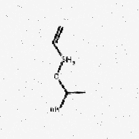 C=C[SiH2]OC(C)CCC